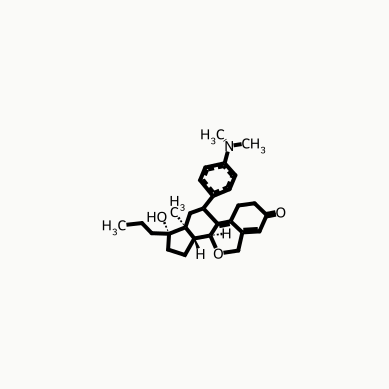 CCC[C@]1(O)CC[C@H]2[C@@H]3OCC4=CC(=O)CCC4=C3C(c3ccc(N(C)C)cc3)C[C@@]21C